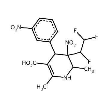 CC1=C(C(=O)O)C(c2cccc([N+](=O)[O-])c2)C(C(F)C(F)F)([N+](=O)[O-])C(C)N1